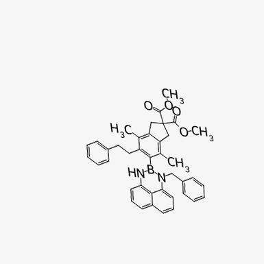 COC(=O)C1(C(=O)OC)Cc2c(C)c(CCc3ccccc3)c(B3Nc4cccc5cccc(c45)N3Cc3ccccc3)c(C)c2C1